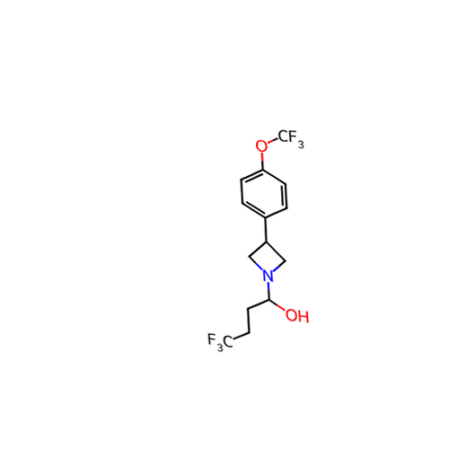 OC(CCC(F)(F)F)N1CC(c2ccc(OC(F)(F)F)cc2)C1